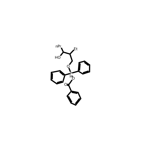 CCCC(O)C(CC)CO[PH](OC(=O)c1ccccc1)(c1ccccc1)c1ccccc1